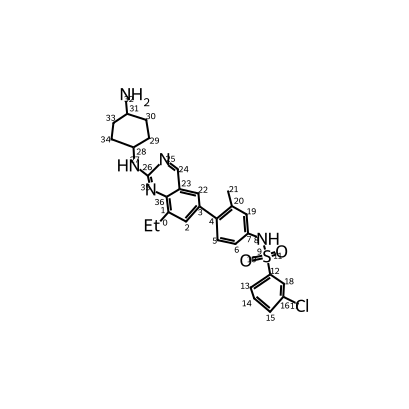 CCc1cc(-c2ccc(NS(=O)(=O)c3cccc(Cl)c3)cc2C)cc2cnc(NC3CCC(N)CC3)nc12